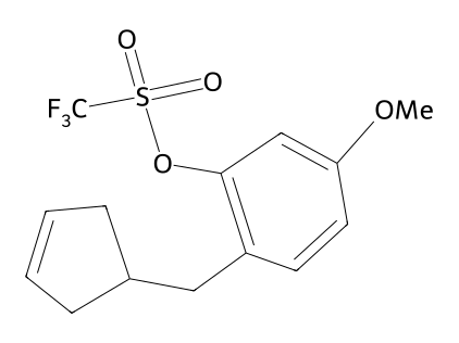 COc1ccc(CC2CC=CC2)c(OS(=O)(=O)C(F)(F)F)c1